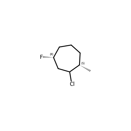 C[C@H]1CCC[C@@H](F)CC1Cl